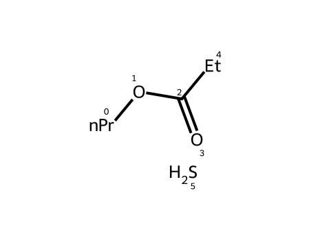 CCCOC(=O)CC.S